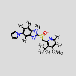 [2H]c1nc(C[S+]([O-])c2nc3c([2H])c(-n4cccc4)c([2H])c([2H])c3n2[2H])c(C([2H])([2H])[2H])c(OC)c1[2H]